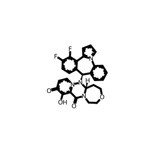 O=C1c2c(O)c(=O)ccn2N([C@@H]2c3ccccc3-n3cccc3-c3c2ccc(F)c3F)[C@@H]2CCOCCN12